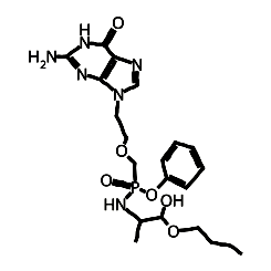 CCCCOC(O)C(C)NP(=O)(COCCn1cnc2c(=O)[nH]c(N)nc21)Oc1ccccc1